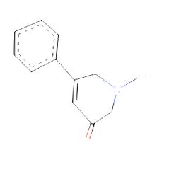 CN1CC(=O)C=C(c2ccccc2)C1